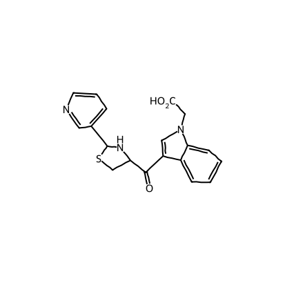 O=C(O)Cn1cc(C(=O)C2CSC(c3cccnc3)N2)c2ccccc21